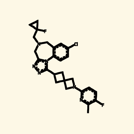 Cc1nc(N2CC3(CC(c4nnc5n4-c4ccc(Cl)cc4CN(CC4(F)CC4)C5)C3)C2)ccc1F